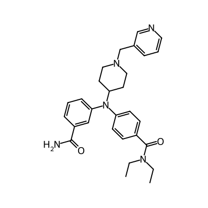 CCN(CC)C(=O)c1ccc(N(c2cccc(C(N)=O)c2)C2CCN(Cc3cccnc3)CC2)cc1